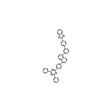 c1ccc(-c2nc(-c3ccccc3)nc(-c3ccc(-c4cccc5c(-c6cccc(-c7ccc(-c8nc9ccccc9o8)cc7)c6)cccc45)cc3)n2)cc1